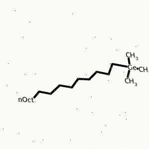 CCCCCCCCCCCCCCCC[CH][Ge]([CH3])([CH3])[CH3]